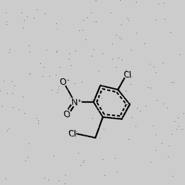 O=[N+]([O-])c1cc(Cl)ccc1CCl